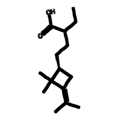 CCC(CC[C@H]1CC(=C(C)C)C1(C)C)C(=O)O